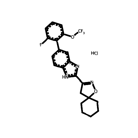 Cl.Fc1cccc(OC(F)(F)F)c1-c1ccc2[nH]c(C3=NOC4(CCCCC4)C3)nc2c1